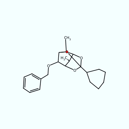 CC1C2OC3(C4CCCCC4)OC1C(OCc1ccccc1)C(O3)C2C